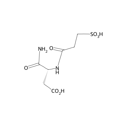 NC(=O)[C@@H](CC(=O)O)NC(=O)CCS(=O)(=O)O